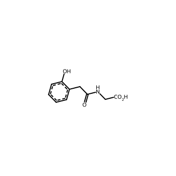 O=C(O)CNC(=O)Cc1ccccc1O